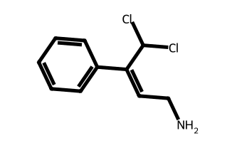 NCC=C(c1ccccc1)C(Cl)Cl